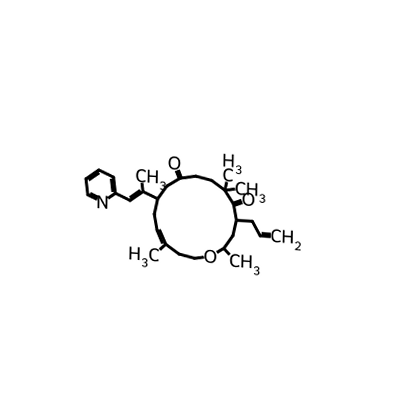 C=CCC1CC(C)OCCC(C)=CCC(C(C)=Cc2ccccn2)CC(=O)CCC(C)(C)C1=O